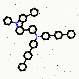 c1ccc(-c2ccc(-c3ccc(N(c4ccc(-c5ccc(-c6ccccc6)cc5)cc4)c4cccc(-c5cccc6c5c5cc(-c7ccccc7)ccc5n6-c5ccccc5)c4)cc3)cc2)cc1